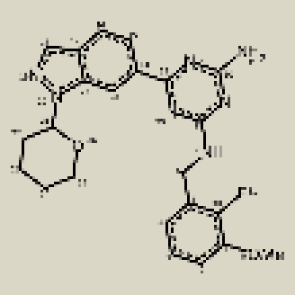 COc1cccc(CNc2nc(N)nc(-c3ccc4cnn(C5CCCCO5)c4c3)n2)c1F